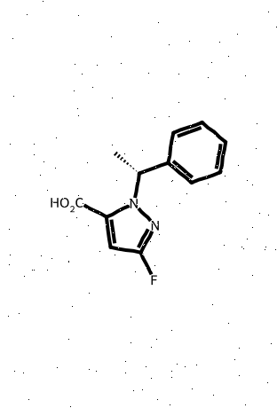 C[C@H](c1ccccc1)n1nc(F)cc1C(=O)O